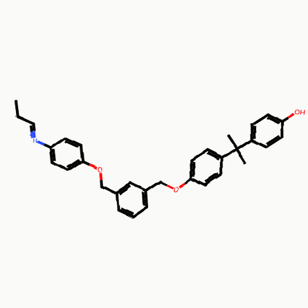 C[CH]C=Nc1ccc(OCc2cccc(COc3ccc(C(C)(C)c4ccc(O)cc4)cc3)c2)cc1